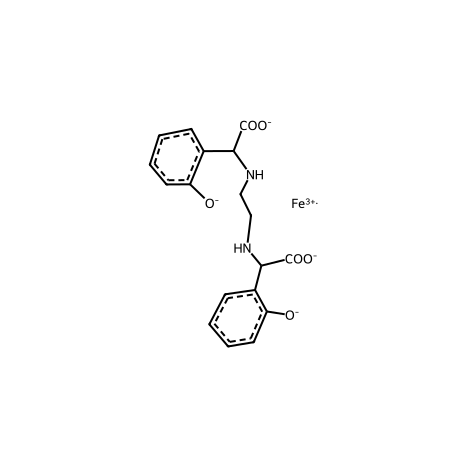 O=C([O-])C(NCCNC(C(=O)[O-])c1ccccc1[O-])c1ccccc1[O-].[Fe+3]